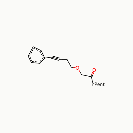 CCCCCC(=O)COCCC#Cc1ccccc1